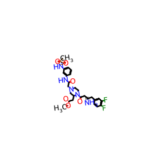 COC(=O)CC1CN(CC(=O)Nc2cccc(NS(C)(=O)=O)c2)CCN1C(=O)C[C@H](N)Cc1ccc(F)c(F)c1